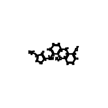 Cc1csc(Nc2cc(Sc3c(C)cccc3Cl)ccn2)n1